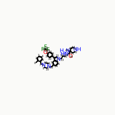 Cc1ccccc1CN1CCN(Cc2ccc3c(c2)c(-c2ccc(OC(F)(F)F)cc2)cn3CCCNC(=O)C2(N)CCNCC2)CC1